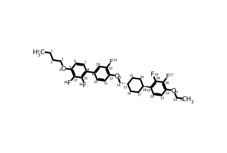 CCCCOc1ccc(-c2ccc(OC[C@H]3CC[C@H](c4ccc(OCC)c(F)c4F)CC3)c(F)c2)c(F)c1F